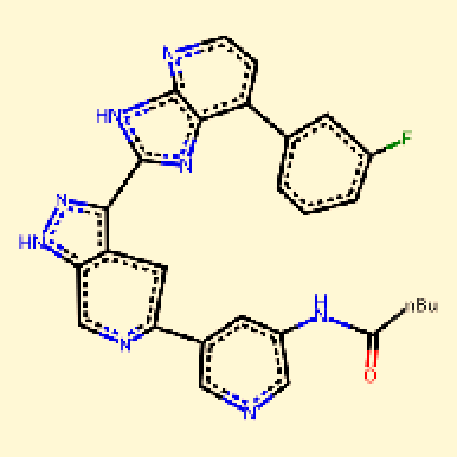 CCCCC(=O)Nc1cncc(-c2cc3c(-c4nc5c(-c6cccc(F)c6)ccnc5[nH]4)n[nH]c3cn2)c1